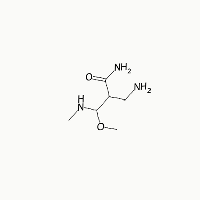 CNC(OC)C(CN)C(N)=O